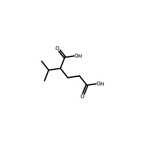 CC(C)C(CCC(=O)O)C(=O)O